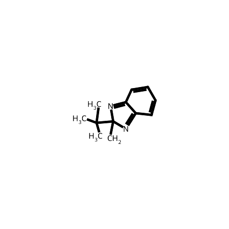 [CH2]C1(C(C)(C)C)N=c2ccccc2=N1